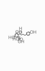 O=P(O)(O)Sc1cc(O)cc(O)c1C(O)CCCc1ccc(O)cc1